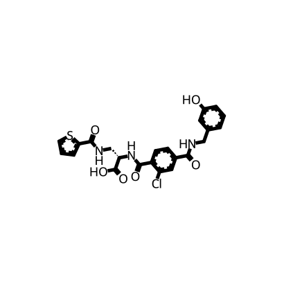 O=C(NCc1cccc(O)c1)c1ccc(C(=O)N[C@@H](CNC(=O)c2cccs2)C(=O)O)c(Cl)c1